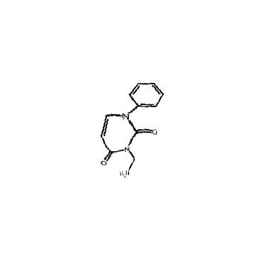 NCn1c(=O)ccn(-c2ccccc2)c1=O